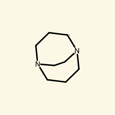 [CH]1CCN2CCCN1CC2